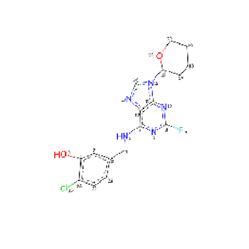 Oc1cc(CNc2nc(F)nc3c2ncn3C2CCCCO2)ccc1Cl